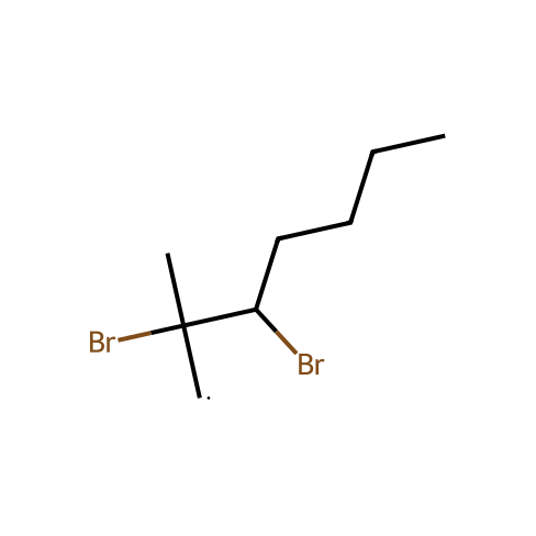 [CH2]C(C)(Br)C(Br)CCCC